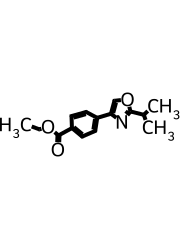 CCOC(=O)c1ccc(-c2coc(C(C)C)n2)cc1